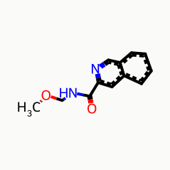 COCNC(=O)c1cc2ccccc2cn1